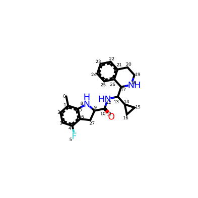 Cc1ccc(F)c2c1NC(C(=O)NC(C1CC1)C1NCCc3ccccc31)C2